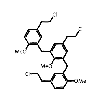 COc1ccc(CCCl)cc1Cc1cc(CCCl)cc(Cc2cc(CCCl)ccc2OC)c1OC